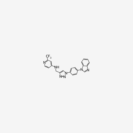 FC(F)(F)c1cc(NCc2cn(-c3ccc(-n4cnc5ccccc54)cc3)nn2)ccn1